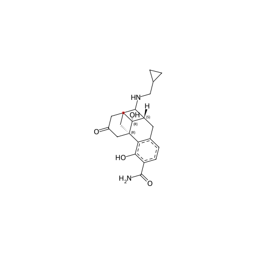 NC(=O)c1ccc2c(c1O)[C@]13CCC(NCC4CC4)[C@H](C2)[C@]1(O)CCC(=O)C3